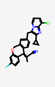 C/C(C#N)=C1/c2ccc(Cc3c(C4CC4)nc4c(Cl)cccn34)cc2COc2cc(F)ccc21